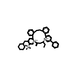 C=C1CC(CC)[n+]2cc(-c3ccccc3)ccc2-c2ccccc2CCc2ccccc2-c2cc(CC3CCCCC3)c([Si](C)(C)C)c[n+]21